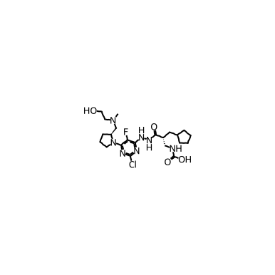 CN(CCO)C[C@@H]1CCCN1c1nc(Cl)nc(NNC(=O)[C@@H](CNC(=O)O)CC2CCCC2)c1F